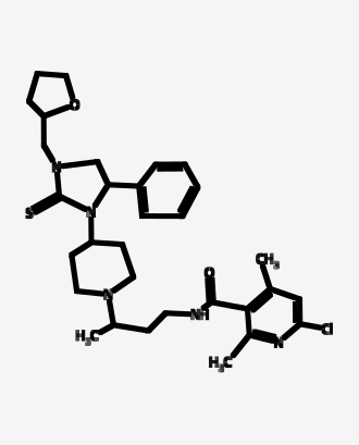 Cc1cc(Cl)nc(C)c1C(=O)NCCC(C)N1CCC(N2C(=S)N(CC3CCCO3)CC2c2ccccc2)CC1